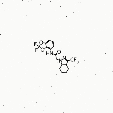 O=C(Cn1nc(C(F)(F)F)c2c1CCCC2)Nc1cccc2c1OC(F)(F)O2